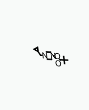 CC(C)(C)C(=O)ON1CCN(CC2CC2)CC1